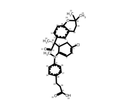 CN(C1=CC=C(Cl)CC1[C@@](C)(C=O)c1ccc2c(c1)CCC(C)(C)O2)c1ccc(CCC(=O)O)cc1